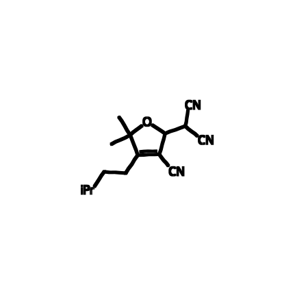 CC(C)CCC1=C(C#N)C(C(C#N)C#N)OC1(C)C